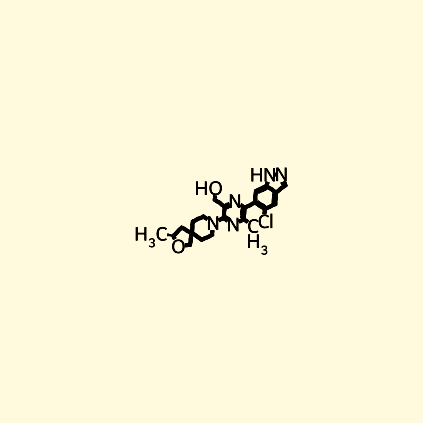 Cc1nc(N2CCC3(CC2)CO[C@@H](C)C3)c(CO)nc1-c1cc2[nH]ncc2cc1Cl